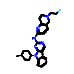 C[C@H]1CC[C@H](n2c3ccccc3c3cnc(Nc4ccc5c(n4)CCN(CCF)C5)nc32)CC1